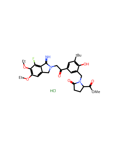 CCOc1cc2c(c(F)c1OCC)C(=N)N(CC(=O)c1cc(CN3C(=O)CCC3C(=O)OC)c(O)c(C(C)(C)C)c1)C2.Cl